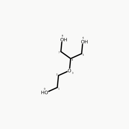 OCCOC(CO)CO